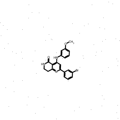 COc1cccc(Nc2cc(-c3cccc(Br)c3)nc3c2C(=O)NCC3)c1